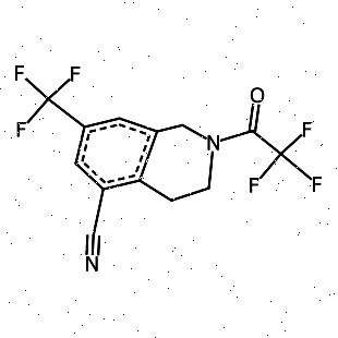 N#Cc1cc(C(F)(F)F)cc2c1CCN(C(=O)C(F)(F)F)C2